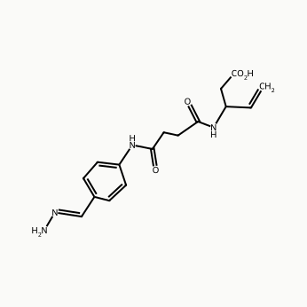 C=CC(CC(=O)O)NC(=O)CCC(=O)Nc1ccc(C=NN)cc1